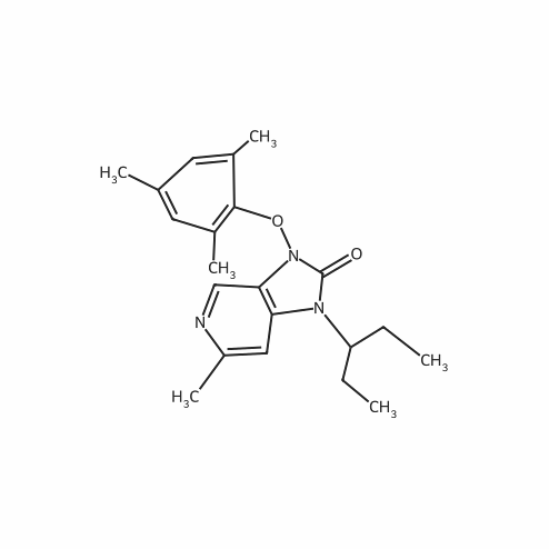 CCC(CC)n1c(=O)n(Oc2c(C)cc(C)cc2C)c2cnc(C)cc21